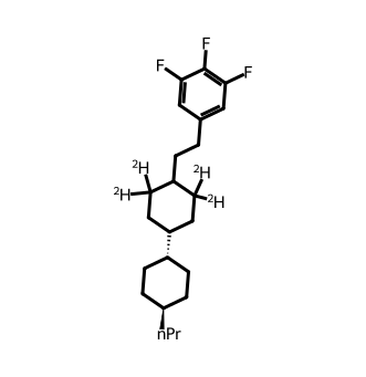 [2H]C1([2H])CC([C@H]2CC[C@H](CCC)CC2)CC([2H])([2H])C1CCc1cc(F)c(F)c(F)c1